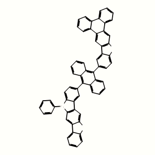 c1ccc(-n2c3ccc(-c4c5ccccc5c(-c5ccc6oc7cc8c9ccccc9c9ccccc9c8cc7c6c5)c5ccccc45)cc3c3cc4sc5ccccc5c4cc32)cc1